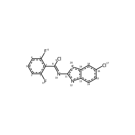 Fc1cccc(F)c1C(Cl)=Nc1nc2ccc(Cl)cc2s1